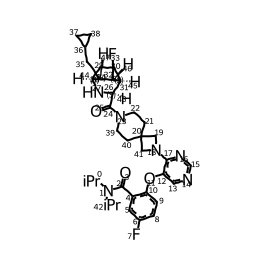 CC(C)N(C(=O)c1cc(F)ccc1Oc1cncnc1N1CC2(CCN(C(=O)[C@H]3N[C@H]4CC[C@@H]3[C@@H](F)[C@H]4CC3CC3)CC2)C1)C(C)C